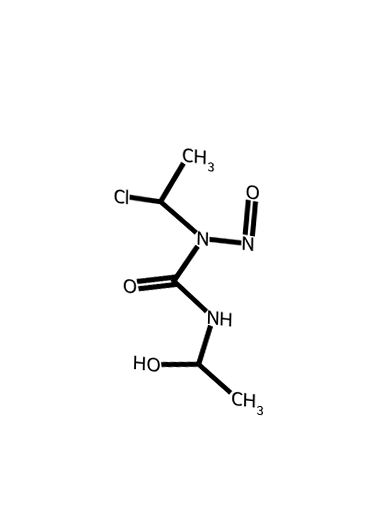 CC(O)NC(=O)N(N=O)C(C)Cl